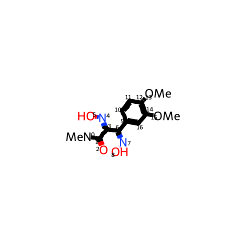 CNC(=O)C(=NO)C(=NO)c1ccc(OC)c(OC)c1